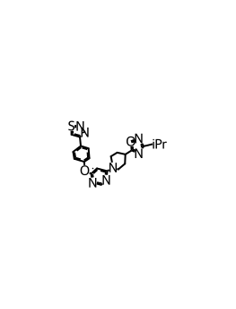 CC(C)c1noc(C2CCN(c3[c]c(Oc4ccc(-c5csnn5)cc4)ncn3)CC2)n1